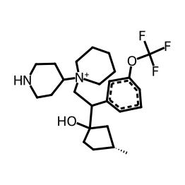 C[C@@H]1CCC(O)(C(C[N+]2(C3CCNCC3)CCCCC2)c2cccc(OC(F)(F)F)c2)C1